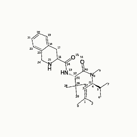 CC(C)=C[C@H](C(C)C)N(C)C(=O)[C@@H](NC(=O)C1Cc2ccccc2CN1)C(C)(C)C